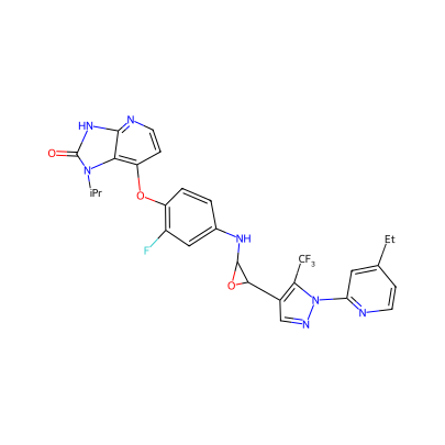 CCc1ccnc(-n2ncc(C3OC3Nc3ccc(Oc4ccnc5[nH]c(=O)n(C(C)C)c45)c(F)c3)c2C(F)(F)F)c1